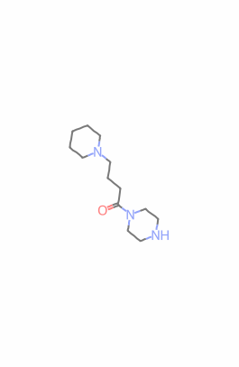 O=C(CCCN1CCCCC1)N1CCNCC1